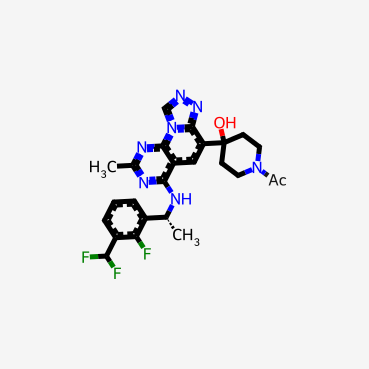 CC(=O)N1CCC(O)(c2cc3c(N[C@H](C)c4cccc(C(F)F)c4F)nc(C)nc3n3cnnc23)CC1